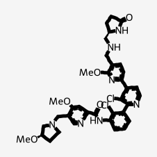 COc1cc(C(=O)Nc2cccc(-c3nccc(-c4ccc(CNC[C@H]5CCC(=O)N5)c(OC)n4)c3Cl)c2Cl)ncc1CN1CC[C@@H](OC)C1